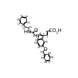 O=C(O)C=Cc1cn(CC(=O)NCCc2ccccc2)c2ccc(OCc3ccccc3)cc12